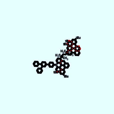 CC(C)(C)c1cc(-c2ccccc2N(c2ccccc2)c2ccccc2-c2cccc3cccc(-c4cc(C(C)(C)C)cc(C(C)(C)CCC(C)(C)c5ccc(N(c6ccc(-c7ccc(-c8ccccc8)c(-c8ccccc8)c7)cc6)c6ccccc6-c6cccc7cccc(-c8cc(C(C)(C)C)cc(C(C)(C)C)c8)c67)cc5)c4)c23)cc(C(C)(C)C)c1